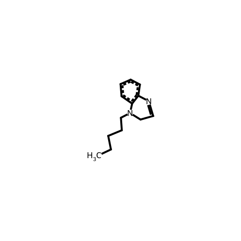 CCCCCN1CC=Nc2ccccc21